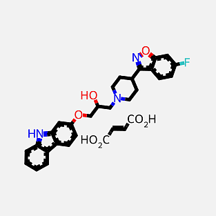 O=C(O)/C=C/C(=O)O.OC(COc1ccc2c(c1)[nH]c1ccccc12)CN1CCC(c2noc3cc(F)ccc23)CC1